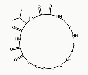 CC(C)C1NC(=O)C(=O)NCCNCCNCCCSSC(=O)C(=O)NC1=O